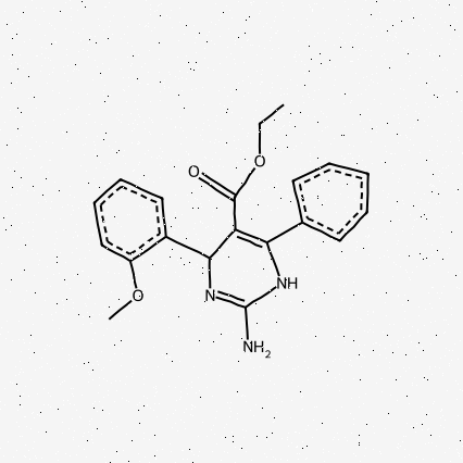 CCOC(=O)C1=C(c2ccccc2)NC(N)=NC1c1ccccc1OC